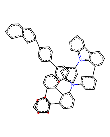 c1ccc(-c2ccccc2-c2c(-c3ccccc3)cccc2N(c2ccc(-c3ccc(-c4ccc5ccccc5c4)cc3)cc2)c2cccc(-c3cccc4c5ccccc5n(-c5ccccc5)c34)c2)cc1